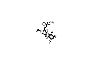 O=C(O)CCC(=O)N(Cc1nc2c(F)c(F)cc(F)c2s1)C1CC1